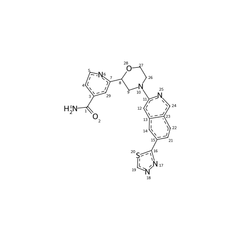 NC(=O)c1ccnc(C2CN(c3cc4cc(-c5nncs5)ccc4cn3)CCO2)c1